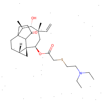 C=C[C@]1(C)C[C@@H](OC(=O)CSCCN(CC)CC)[C@]23C[C@@H]2CCC2(CCC(=O)C23)[C@@H](C)[C@@H]1O